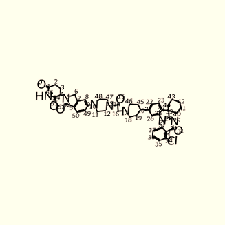 O=C1CCC(N2Cc3cc(N4CCN(C(=O)CN5CCC(c6ccc7c(c6)-n6c(nc(=O)c8c(Cl)cccc86)C76CCCCC6)CC5)CC4)ccc3C2=O)C(=O)N1